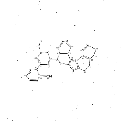 COC1CC(C2Cc3sc4c(c3C3C=CC=CC23)C2=C(CCC=C2)CC4)=NC(C2C=CC=CC2O)=N1